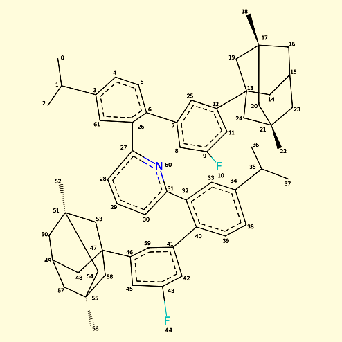 CC(C)c1ccc(-c2cc(F)cc(C34CC5C[C@@](C)(C3)C[C@](C)(C5)C4)c2)c(-c2cccc(-c3cc(C(C)C)ccc3-c3cc(F)cc(C45CC6C[C@@](C)(C4)C[C@](C)(C6)C5)c3)n2)c1